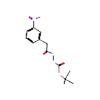 CC(C)(C)OC(=O)NNC(=O)Cc1cccc([N+](=O)[O-])c1